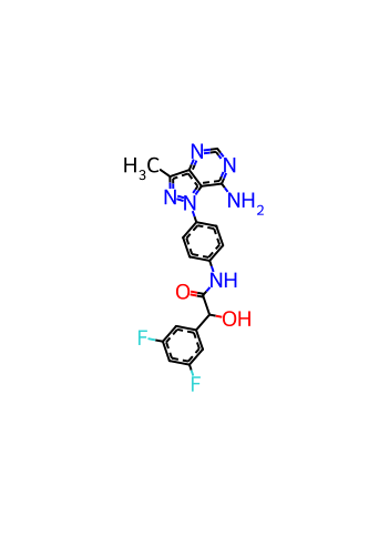 Cc1nn(-c2ccc(NC(=O)C(O)c3cc(F)cc(F)c3)cc2)c2c(N)ncnc12